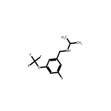 CC(C)NCc1cc(F)cc(OC(F)(F)F)c1